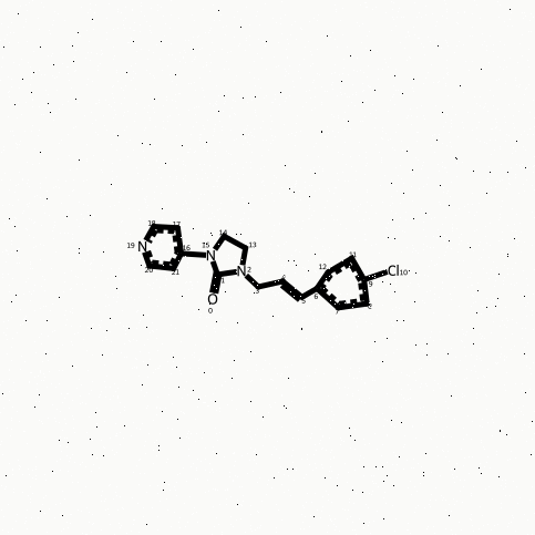 O=C1N(CC=Cc2ccc(Cl)cc2)CCN1c1ccncc1